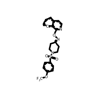 O=S(=O)(c1ccc(OC(F)(F)F)cc1)N1CCC(=NOc2nccc3ccccc23)CC1